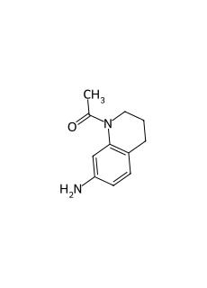 CC(=O)N1CCCc2ccc(N)cc21